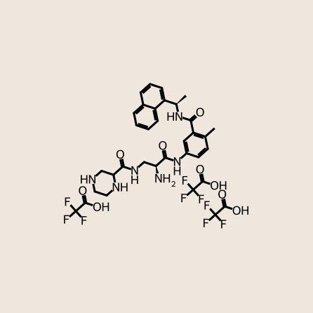 Cc1ccc(NC(=O)[C@@H](N)CNC(=O)C2CNCCN2)cc1C(=O)N[C@H](C)c1cccc2ccccc12.O=C(O)C(F)(F)F.O=C(O)C(F)(F)F.O=C(O)C(F)(F)F